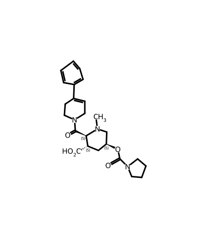 CN1C[C@@H](OC(=O)N2CCCC2)C[C@H](C(=O)O)[C@H]1C(=O)N1CC=C(c2ccccc2)CC1